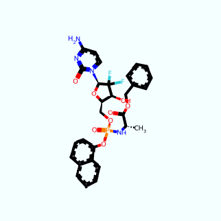 C[C@H](NP(=O)(OC[C@H]1O[C@@H](n2ccc(N)nc2=O)C(F)(F)C1O)Oc1cccc2ccccc12)C(=O)OCc1ccccc1